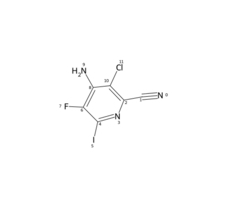 N#Cc1nc(I)c(F)c(N)c1Cl